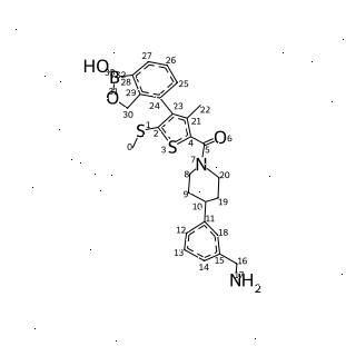 CSc1sc(C(=O)N2CCC(c3cccc(CN)c3)CC2)c(C)c1-c1cccc2c1COB2O